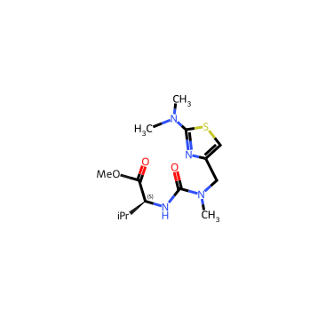 COC(=O)[C@@H](NC(=O)N(C)Cc1csc(N(C)C)n1)C(C)C